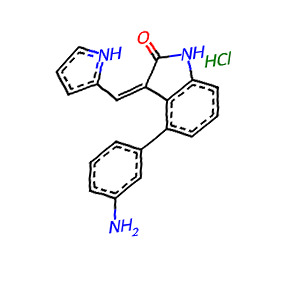 Cl.Nc1cccc(-c2cccc3c2/C(=C/c2ccc[nH]2)C(=O)N3)c1